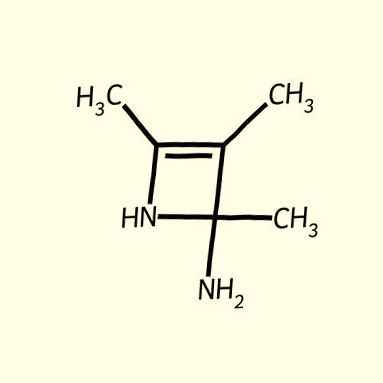 CC1=C(C)C(C)(N)N1